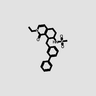 CCn1ccc2c(c1=O)C(Cc1cccc(-c3ccccc3)c1)C(NS(C)(=O)=O)CC2